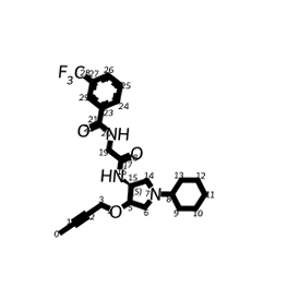 CC#CCOC1CN(C2CCCCC2)C[C@@H]1NC(=O)CNC(=O)c1cccc(C(F)(F)F)c1